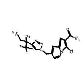 CCC(O)(c1cn(Cc2ccn3c(Cl)c(C(N)=O)cc3c2)nn1)C(F)(F)F